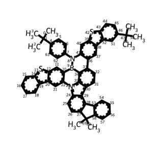 CC(C)(C)c1ccc(N2B3c4cc5sc6ccccc6c5cc4-n4c5ccc6c(c5c5ccc(c3c54)-c3cc4c(cc32)sc2ccc(C(C)(C)C)cc24)-c2ccccc2C6(C)C)cc1